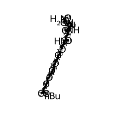 CCCCOC(=O)CCOCCOCCOCCOCCOCCOCCNC(=O)CCC(=O)Nc1nnc(S(N)(=O)=O)s1